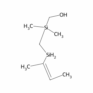 CC=C(C)[SiH2]C[Si](C)(C)CO